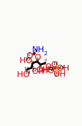 NC(=O)OC(C(O)C=O)C(O)C(O)CO.O=P(O)(O)O